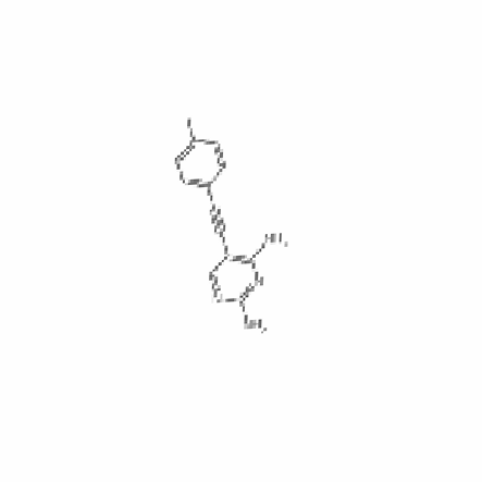 Cc1ccc(C#Cc2cnc(N)nc2N)cc1